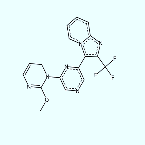 COC1=NC=CCN1c1cncc(-c2c(C(F)(F)F)nc3ccccn23)n1